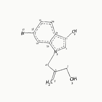 C=C(CO)Cn1cc(C#N)c2ccc(Br)cc21